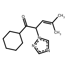 CC(C)=CC(C(=O)C1CCCCC1)n1cncn1